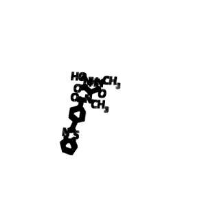 CNC(=O)C(C(=O)NO)N(C)C(=O)c1ccc(-c2nc3ccccc3s2)cc1